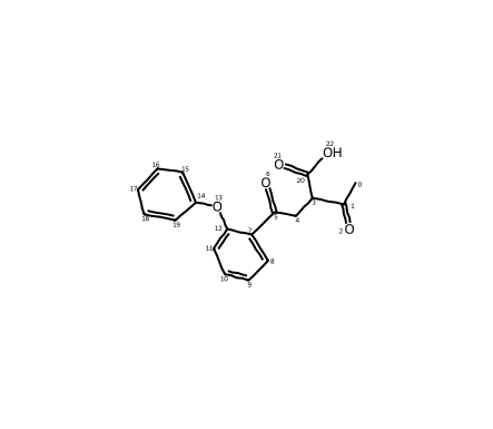 CC(=O)C(CC(=O)c1ccccc1Oc1ccccc1)C(=O)O